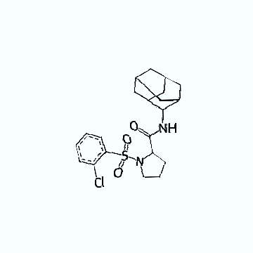 O=C(NC1C2CC3CC(C2)CC1C3)C1CCCN1S(=O)(=O)c1ccccc1Cl